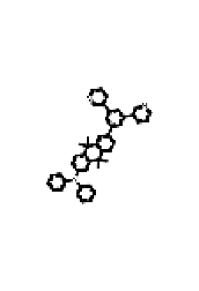 CC1(C)c2ccc(N(c3ccccc3)c3ccccc3)cc2C(C)(C)c2ccc(-c3cc(-c4cccnc4)cc(-c4cccnc4)c3)cc21